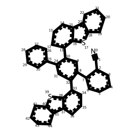 N#Cc1ccccc1-c1cc(-c2cccc3c2sc2ccccc23)c(-c2ccccc2)cc1-c1cccc2c1sc1ccccc12